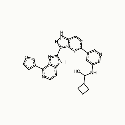 OC(Nc1cncc(-c2ccc3[nH]nc(-c4nc5c(-c6ccoc6)nccc5[nH]4)c3n2)c1)C1CCC1